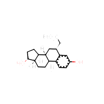 CCOC(=O)C[C@@H]1C[C@@H]2[C@H](CC[C@]3(C)[C@@H](O)CC[C@@H]23)c2ccc(O)cc21